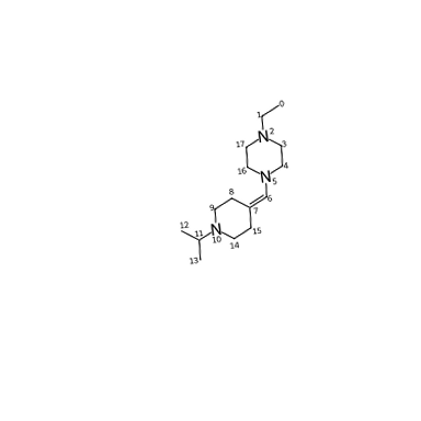 CCN1CCN(C=C2CCN(C(C)C)CC2)CC1